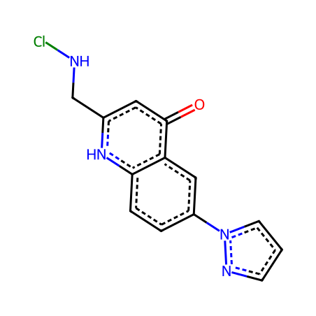 O=c1cc(CNCl)[nH]c2ccc(-n3cccn3)cc12